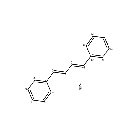 C(/C=C/c1ccccc1)=C\c1ccccc1.[Zr]